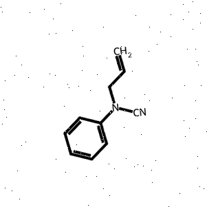 C=CCN(C#N)c1ccccc1